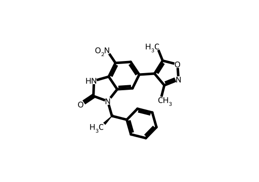 Cc1noc(C)c1-c1cc([N+](=O)[O-])c2[nH]c(=O)n([C@H](C)c3ccccc3)c2c1